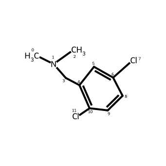 CN(C)Cc1cc(Cl)ccc1Cl